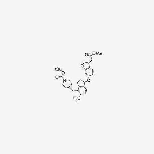 COC(=O)C[C@@H]1COc2cc(O[C@@H]3CCc4c3ccc(C(F)(F)F)c4CN3CCN(C(=O)OC(C)(C)C)CC3)ccc21